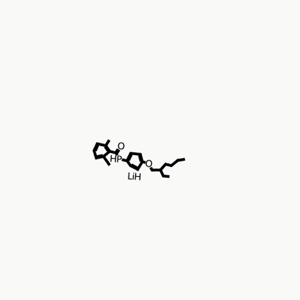 CCCCC(CC)COc1ccc(PC(=O)c2c(C)cccc2C)cc1.[LiH]